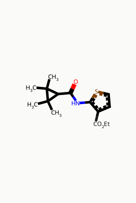 CCOC(=O)c1ccsc1NC(=O)C1C(C)(C)C1(C)C